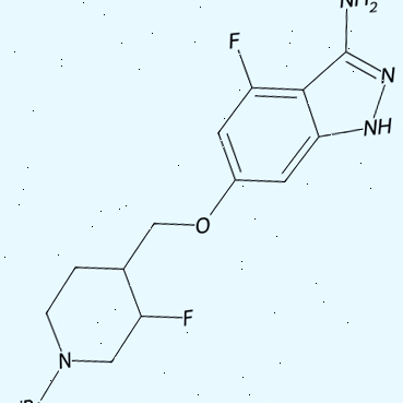 CC(C)N1CCC(COc2cc(F)c3c(N)n[nH]c3c2)C(F)C1